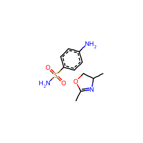 CC1=NC(C)CO1.Nc1ccc(S(N)(=O)=O)cc1